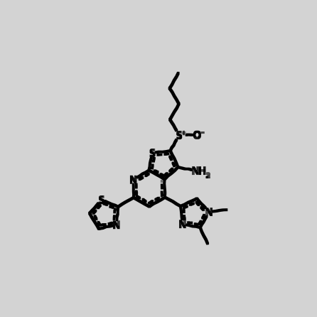 CCCC[S+]([O-])c1sc2nc(-c3nccs3)cc(-c3cn(C)c(C)n3)c2c1N